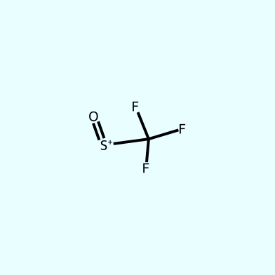 O=[S+]C(F)(F)F